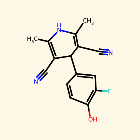 CC1=C(C#N)C(c2ccc(O)c(F)c2)C(C#N)=C(C)N1